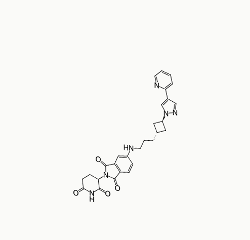 O=C1CCC(N2C(=O)c3ccc(NCCC[C@H]4C[C@H](n5cc(-c6ccccn6)cn5)C4)cc3C2=O)C(=O)N1